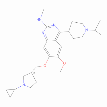 CNc1nc(C2CCN(C(C)C)CC2)c2cc(OC)c(OC[C@@H]3CCN(C4CC4)C3)cc2n1